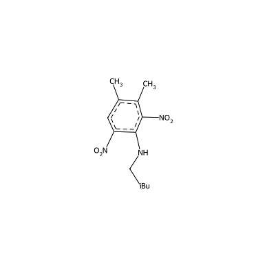 CCC(C)CNc1c([N+](=O)[O-])cc(C)c(C)c1[N+](=O)[O-]